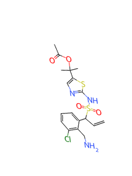 C=CC(c1cccc(Cl)c1CN)S(=O)(=O)Nc1ncc(C(C)(C)OC(C)=O)s1